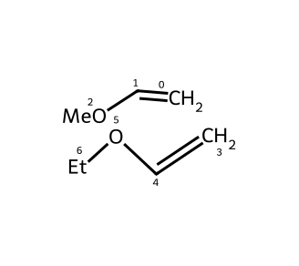 C=COC.C=COCC